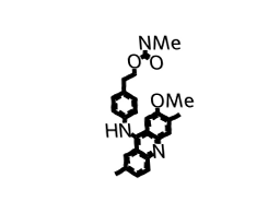 CNC(=O)OCCc1ccc(Nc2c3cc(C)ccc3nc3cc(C)c(OC)cc23)cc1